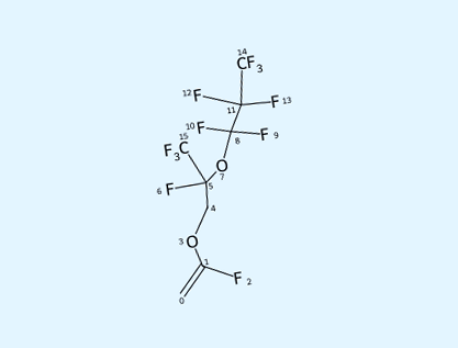 C=C(F)OCC(F)(OC(F)(F)C(F)(F)C(F)(F)F)C(F)(F)F